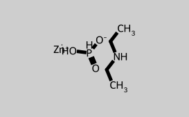 CCNCC.O=[PH]([O-])O.[Zn+]